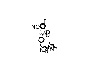 Cc1cc(C)n(-c2cc(C[C@H]3CC[C@H](C(=O)N4OCC[C@H]4c4cc(F)cc(C#N)c4)CC3)ncn2)n1